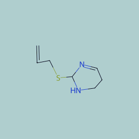 C=CCSC1N=CCCN1